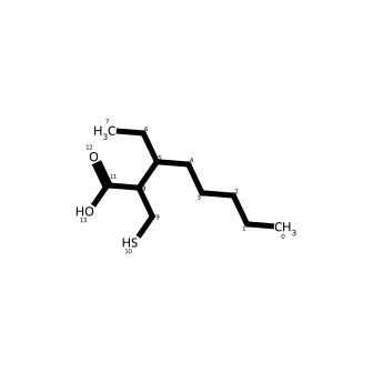 CCCCCC(CC)C(CS)C(=O)O